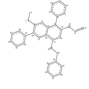 CSc1cc2c(-c3ccccc3)c(OC=O)cc(OCc3ccccc3)c2cc1-c1ccccc1